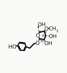 CO[C@H]1[C@H](O)[C@@H](O)[C@H](OCCc2ccc(O)cc2)O[C@@H]1CO